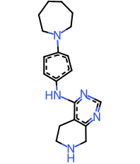 c1nc2c(c(Nc3ccc(N4CCCCCC4)cc3)n1)CCNC2